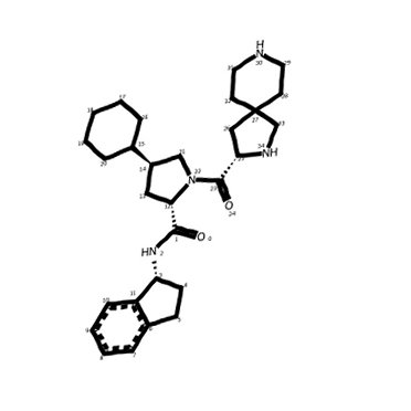 O=C(N[C@@H]1CCc2ccccc21)[C@@H]1C[C@@H](C2CCCCC2)CN1C(=O)[C@@H]1CC2(CCNCC2)CN1